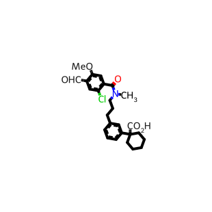 COc1cc(C(=O)N(C)CCCc2cccc(C3(C(=O)O)CCCCC3)c2)c(Cl)cc1C=O